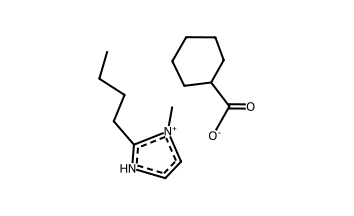 CCCCc1[nH]cc[n+]1C.O=C([O-])C1CCCCC1